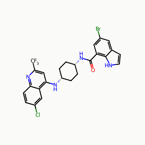 O=C(N[C@H]1CC[C@@H](Nc2cc(C(F)(F)F)nc3ccc(Cl)cc23)CC1)c1cc(Br)cc2cc[nH]c12